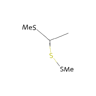 CSSC(C)SC